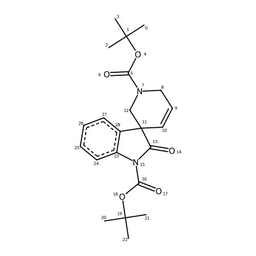 CC(C)(C)OC(=O)N1CC=CC2(C1)C(=O)N(C(=O)OC(C)(C)C)c1ccccc12